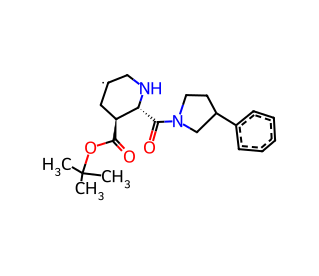 CC(C)(C)OC(=O)[C@H]1C[CH]CN[C@@H]1C(=O)N1CCC(c2ccccc2)C1